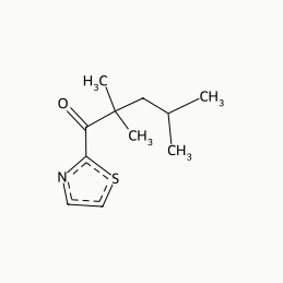 CC(C)CC(C)(C)C(=O)c1nccs1